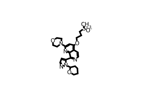 C[S+]([O-])CCCOc1cc(N2CCOCC2)nc2c(-c3ccnn3C3CCCCO3)nccc12